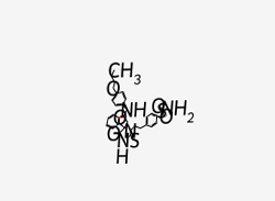 CCCOc1ccc(NC(=O)CC2(c3ccccc3)C(=O)NC(=S)N2CCc2ccc(S(N)(=O)=O)cc2)cc1